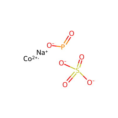 O=P[O-].O=S(=O)([O-])[O-].[Co+2].[Na+]